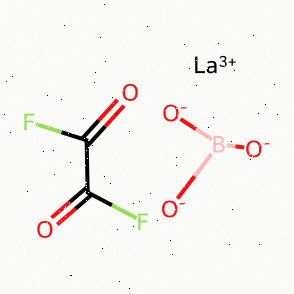 O=C(F)C(=O)F.[La+3].[O-]B([O-])[O-]